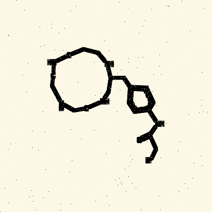 O=C(CBr)Nc1ccc(CC2CNCCNCCNCCCN2)cc1